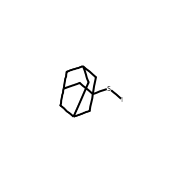 ISC12CC3CC(CC(C3)C1)C2